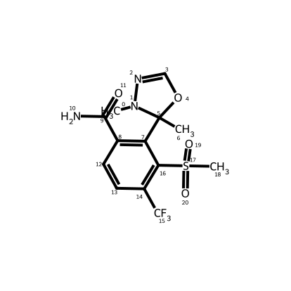 CN1N=COC1(C)c1c(C(N)=O)ccc(C(F)(F)F)c1S(C)(=O)=O